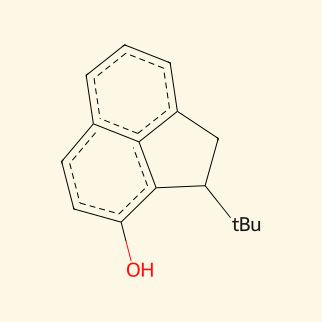 CC(C)(C)C1Cc2cccc3ccc(O)c1c23